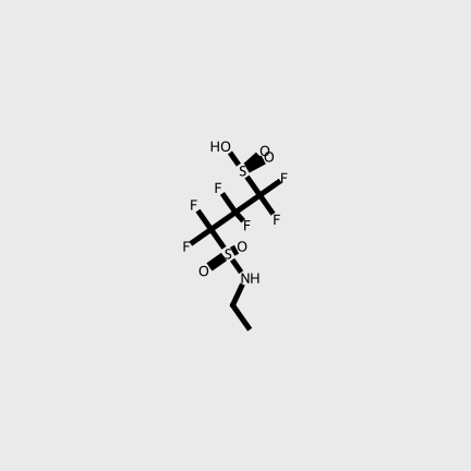 CCNS(=O)(=O)C(F)(F)C(F)(F)C(F)(F)S(=O)(=O)O